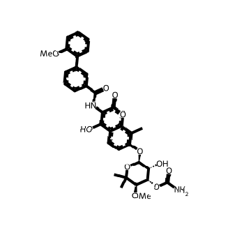 COc1ccccc1-c1cccc(C(=O)Nc2c(O)c3ccc(O[C@@H]4OC(C)(C)[C@H](OC)[C@@H](OC(N)=O)[C@H]4O)c(C)c3oc2=O)c1